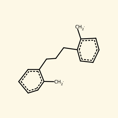 [CH2]c1ccccc1CCCc1ccccc1[CH2]